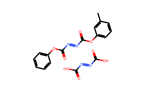 Cc1cccc(OC(=O)N=NC(=O)Oc2ccccc2)c1.O=C(O)N=NC(=O)O